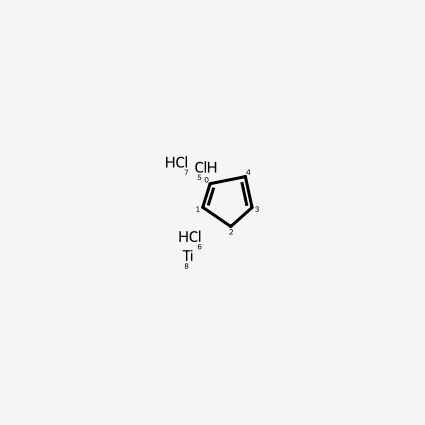 C1=CCC=C1.Cl.Cl.Cl.[Ti]